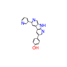 Oc1ccc(-c2cnc3[nH]c4cnc(-c5cccnc5)cc4c3c2)cc1